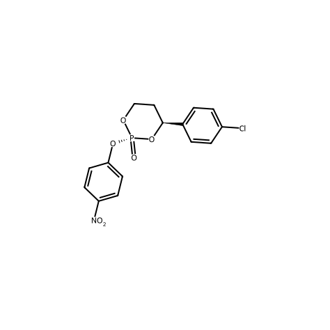 O=[N+]([O-])c1ccc(O[P@]2(=O)OCC[C@@H](c3ccc(Cl)cc3)O2)cc1